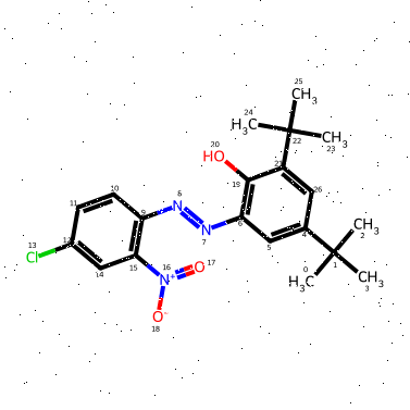 CC(C)(C)c1cc(N=Nc2ccc(Cl)cc2[N+](=O)[O-])c(O)c(C(C)(C)C)c1